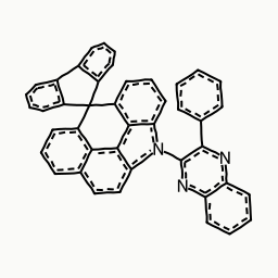 c1ccc(-c2nc3ccccc3nc2-n2c3cccc4c3c3c5c(cccc5ccc32)C42c3ccccc3-c3ccccc32)cc1